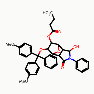 COc1ccc(C(OC2C(OC(=O)CCC(=O)O)C3OC2C2C(=O)N(c4ccccc4)C(O)C32)(c2ccccc2)c2ccc(OC)cc2)cc1